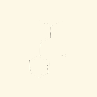 O=C([O-])C=Cc1ccccc1.[Ag+]